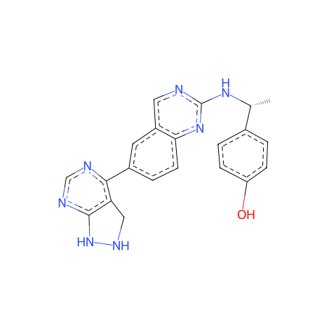 C[C@@H](Nc1ncc2cc(-c3ncnc4c3CNN4)ccc2n1)c1ccc(O)cc1